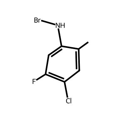 Cc1cc(Cl)c(F)cc1NBr